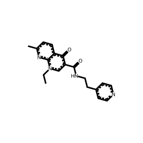 CCn1cc(C(=O)NCCc2ccncc2)c(=O)c2ccc(C)nc21